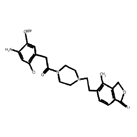 COc1cc(CC(=O)N2CCN(CCc3ccc4c(c3C)COC4=O)CC2)c(Cl)cc1N